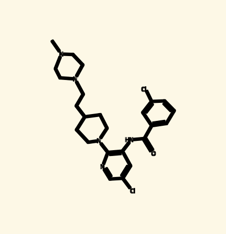 CN1CCN(CCC2CCN(c3ncc(Cl)cc3NC(=O)c3cccc(Cl)c3)CC2)CC1